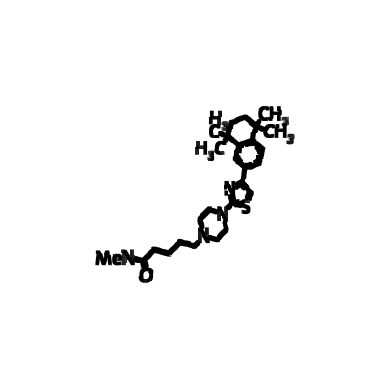 CNC(=O)CCCCN1CCN(c2nc(-c3ccc4c(c3)C(C)(C)CCC4(C)C)cs2)CC1